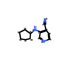 N#Cc1ccncc1NC1CCCCC1